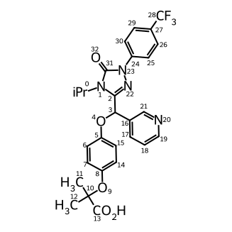 CC(C)n1c(C(Oc2ccc(OC(C)(C)C(=O)O)cc2)c2cccnc2)nn(-c2ccc(C(F)(F)F)cc2)c1=O